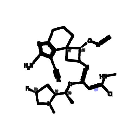 C=NO[C@@H]1C(N=C(/C=C(/Cl)NC)O[C@@H](C)[C@@H]2C[C@@H](F)CN2C)C[C@@]12CCCc1sc(N)c(C#N)c12